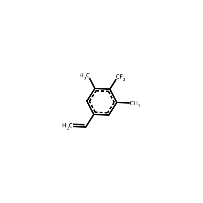 C=Cc1cc(C)c(C(F)(F)F)c(C)c1